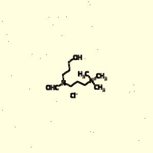 C[N+](C)(C)CCCN(C=O)CCCO.[Cl-]